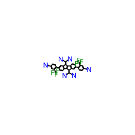 N#CC(C#N)=C1C2=C(C(=C(C#N)C#N)c3cc(-c4ccc(C#N)cc4C(F)(F)F)ccc32)c2ccc(-c3ccc(C#N)cc3C(F)(F)F)cc21